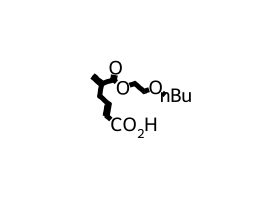 C=C(CC=CC(=O)O)C(=O)OCCOCCCC